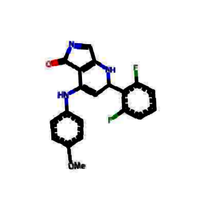 COc1ccc(NC2=CC(c3c(F)cccc3F)NC3=C2C(=O)N=C3)cc1